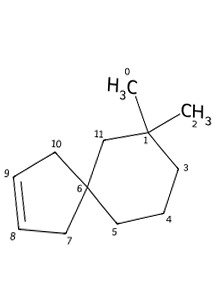 CC1(C)CCCC2(CC=CC2)C1